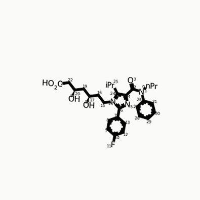 CCCN(C(=O)c1nc(-c2ccc(F)cc2)n(CC[C@@H](O)C[C@@H](O)CC(=O)O)c1C(C)C)c1ccccc1